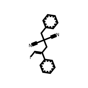 N#CC(C#N)(CC(=CI)c1ccccc1)Cc1ccccc1